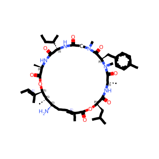 C/C=C(\C)[C@H]1OC(=O)[C@@H](C)NC(=O)[C@H](C(C)CC)NC(=O)CN(C)C(=O)[C@@H](Cc2ccc(C)cc2)N(C)C(=O)[C@H](C)NC(=O)[C@@H](CC(C)C)OC(=O)/C(C)=C/C[C@H](N)[C@@H]1C